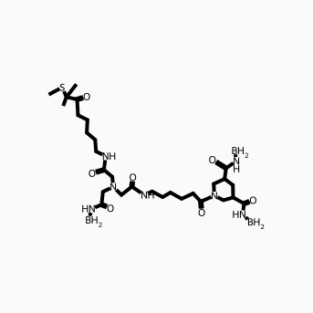 BNC(=O)CN(CC(=O)NCCCCCC(=O)N1CC(C(=O)NB)CC(C(=O)NB)C1)CC(=O)NCCCCCC(=O)C(C)(C)SC